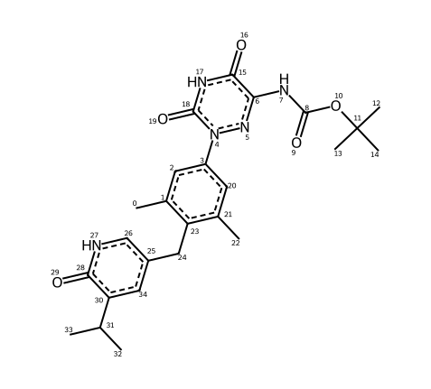 Cc1cc(-n2nc(NC(=O)OC(C)(C)C)c(=O)[nH]c2=O)cc(C)c1Cc1c[nH]c(=O)c(C(C)C)c1